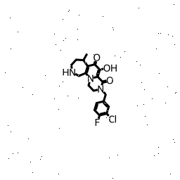 CC1CCNCc2c1c(=O)c(O)c1n2CCN(Cc2ccc(F)c(Cl)c2)C1=O